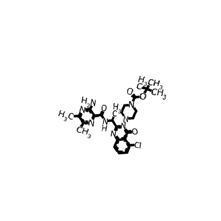 Cc1nc(N)c(C(=O)NC(C)c2nc3cccc(Cl)c3c(=O)n2N2CCN(C(=O)OC(C)(C)C)CC2)nc1C